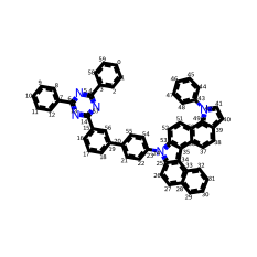 c1ccc(-c2nc(-c3ccccc3)nc(-c3cccc(-c4ccc(-n5c6ccc7ccccc7c6c6c7ccc8ccn(-c9ccccc9)c8c7ccc65)cc4)c3)n2)cc1